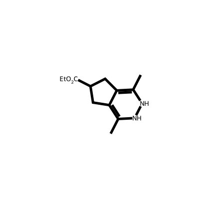 CCOC(=O)C1CC2=C(C)NNC(C)=C2C1